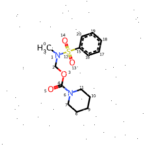 CN(COC(=O)N1CCCCC1)S(=O)(=O)c1ccccc1